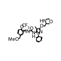 COCc1ccc(OC(F)(F)F)c(CNC(=O)Nc2c(C)c(OCC3COCCN3)nn2-c2ccccc2)c1